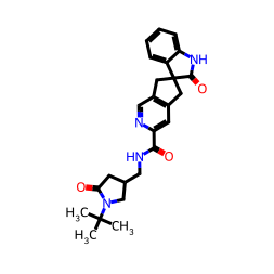 CC(C)(C)N1CC(CNC(=O)c2cc3c(cn2)CC2(C3)C(=O)Nc3ccccc32)CC1=O